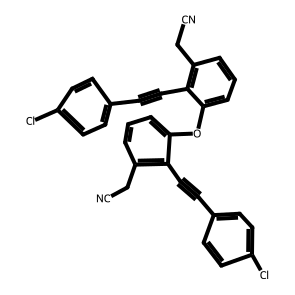 N#CCc1cccc(Oc2cccc(CC#N)c2C#Cc2ccc(Cl)cc2)c1C#Cc1ccc(Cl)cc1